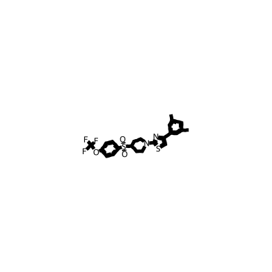 Cc1cc(C)cc(-c2csc(N3CCC(S(=O)(=O)c4ccc(OC(F)(F)F)cc4)CC3)n2)c1